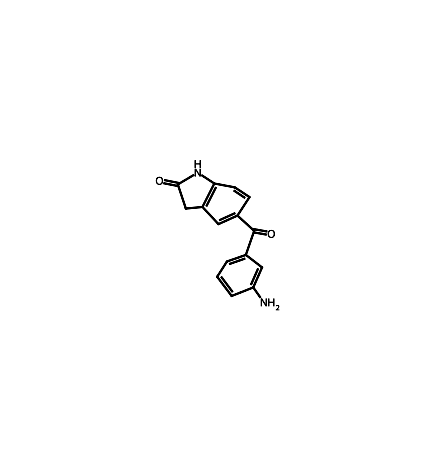 Nc1cccc(C(=O)c2ccc3c(c2)CC(=O)N3)c1